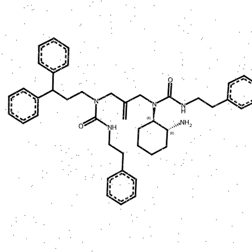 C=C(CN(CCC(c1ccccc1)c1ccccc1)C(=O)NCCc1ccccc1)CN(C(=O)NCCc1ccccc1)[C@@H]1CCCC[C@H]1N